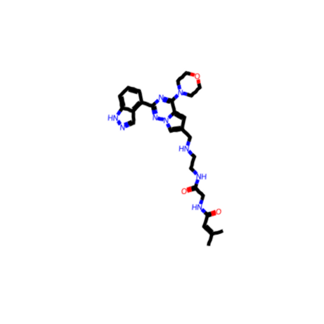 CC(C)=CC(=O)NCC(=O)NCCNCc1cc2c(N3CCOCC3)nc(-c3cccc4[nH]ncc34)nn2c1